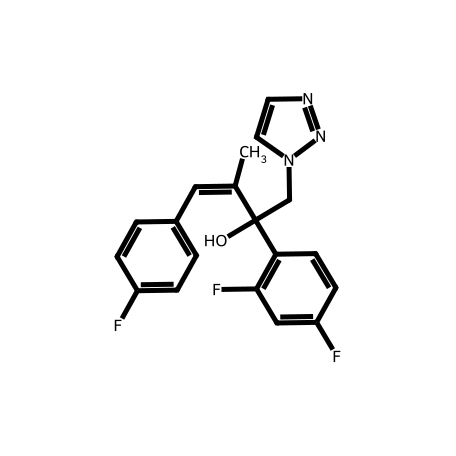 CC(=Cc1ccc(F)cc1)C(O)(Cn1ccnn1)c1ccc(F)cc1F